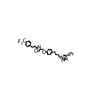 CC(C)c1cn(CCCCc2ccc(OCc3coc(/C=C/c4ccc(C(F)(F)F)cc4)n3)cc2)nn1